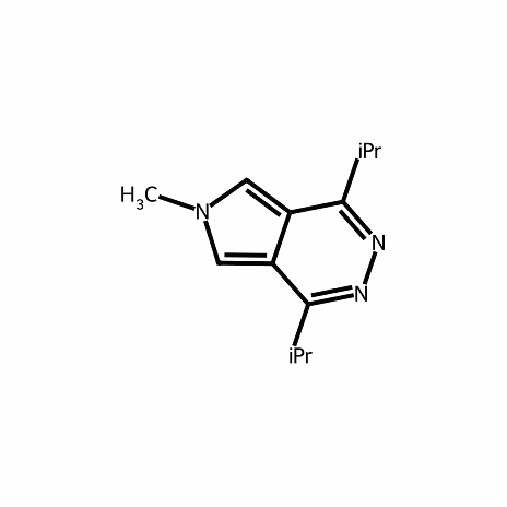 CC(C)c1nnc(C(C)C)c2cn(C)cc12